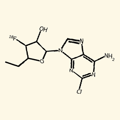 CCC1OC(n2cnc3c(N)nc(Cl)nc32)C(O)C1[18F]